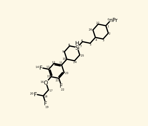 CCCC1CCC(CC[SiH]2CCC(c3cc(F)c(OCC(F)F)c(F)c3)CC2)CC1